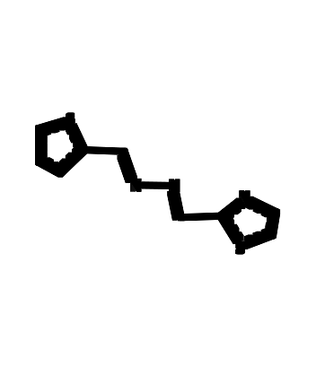 C(=N\N=C\c1nccs1)/c1cccs1